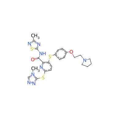 Cc1nsc(NC(=O)c2nc(Sc3nncn3C)ccc2Sc2ccc(OCCN3CCCC3)cc2)n1